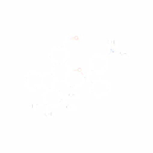 CN(C)c1ccc(C2(c3ccccc3)C=Cc3c4c(c5ccc(C=O)cc5c3O2)-c2ccccc2C42CC(C)(C)CC(C)(C)C2)cc1